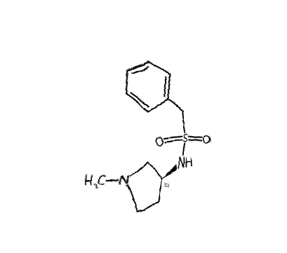 CN1CC[C@H](NS(=O)(=O)Cc2ccccc2)C1